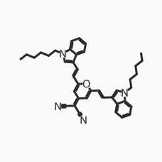 CCCCCCn1cc(C=CC2=CC(=C(C#N)C#N)C=C(C=Cc3cn(CCCCCC)c4ccccc34)O2)c2ccccc21